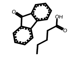 CCCCC(=O)O.O=C1c2ccccc2-c2ccccc21